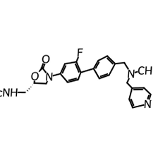 CC(=O)NC[C@H]1CN(c2ccc(-c3ccc(CN(C)Cc4ccncc4)cc3)c(F)c2)C(=O)O1